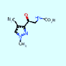 Cc1cn(C)nc1C(=O)CNC(=O)O